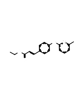 CCOC(=O)/C=C/c1ccc(Oc2cccc(C)n2)cc1